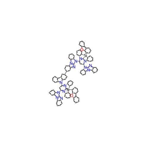 c1ccc([Si](c2ccccc2)(c2nc(-n3c4ccccc4c4cc(-c5ccc6c(c5)nc5n(-c7cc(-n8c9ccccc9n9c%10ccccc%10nc89)nc([Si](c8ccccc8)(c8ccccc8)c8cccc9c8oc8ccccc89)n7)c7ccccc7n65)ccc43)cc(-n3c4ccccc4n4c5ccccc5nc34)n2)c2cccc3c2oc2ccccc23)cc1